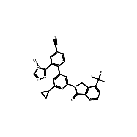 Cn1cnnc1-c1cc(C#N)ccc1-c1cc(C2CC2)nc(N2Cc3c(cccc3C(F)(F)F)C2=O)c1